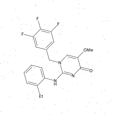 CCc1ccccc1Nc1nc(=O)c(OC)cn1Cc1cc(F)c(F)c(F)c1